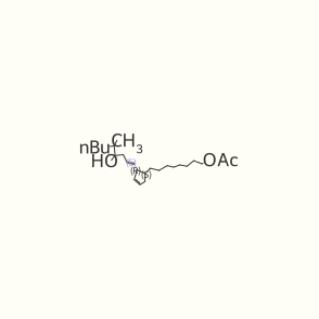 CCCCC(C)C(O)C/C=C/[C@H]1C=CC[C@@H]1CCCCCCCCOC(C)=O